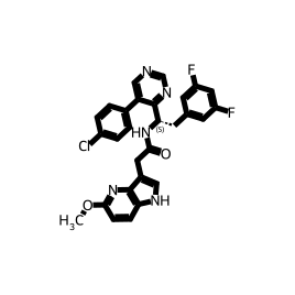 COc1ccc2[nH]cc(CC(=O)N[C@@H](Cc3cc(F)cc(F)c3)c3ncncc3-c3ccc(Cl)cc3)c2n1